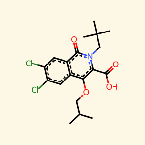 CC(C)COc1c(C(=O)O)n(CC(C)(C)C)c(=O)c2cc(Cl)c(Cl)cc12